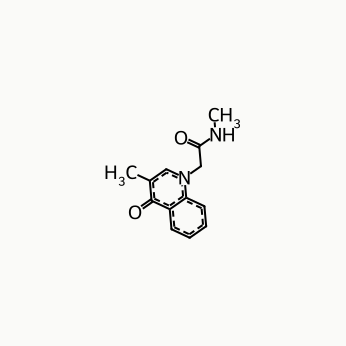 CNC(=O)Cn1cc(C)c(=O)c2ccccc21